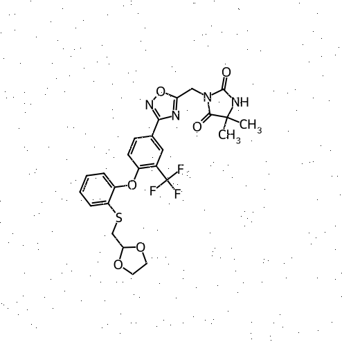 CC1(C)NC(=O)N(Cc2nc(-c3ccc(Oc4ccccc4SCC4OCCO4)c(C(F)(F)F)c3)no2)C1=O